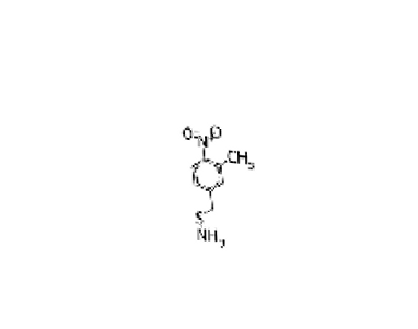 Cc1cc(CSN)ccc1[N+](=O)[O-]